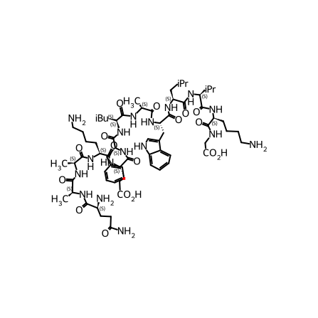 CC[C@H](C)[C@H](NC(=O)[C@H](Cc1ccccc1)NC(=O)[C@H](CCC(=O)O)NC(=O)[C@H](CCCCN)NC(=O)[C@H](C)NC(=O)[C@H](C)NC(=O)[C@@H](N)CCC(N)=O)C(=O)N[C@@H](C)C(=O)N[C@@H](Cc1c[nH]c2ccccc12)C(=O)N[C@@H](CC(C)C)C(=O)N[C@H](C(=O)N[C@@H](CCCCN)C(=O)NCC(=O)O)C(C)C